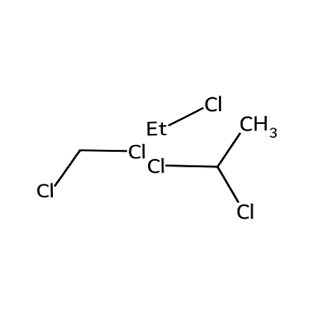 CC(Cl)Cl.CCCl.ClCCl